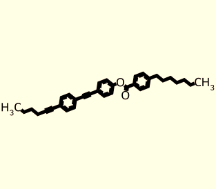 CCCCC#Cc1ccc(C#Cc2ccc(OC(=O)c3ccc(CCCCCCC)cc3)cc2)cc1